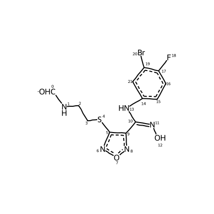 O=[C]NCCSc1nonc1/C(=N\O)Nc1ccc(F)c(Br)c1